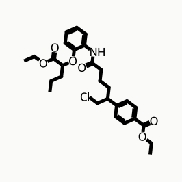 CCCC(Oc1ccccc1NC(=O)CCCC(CCl)c1ccc(C(=O)OCC)cc1)C(=O)OCC